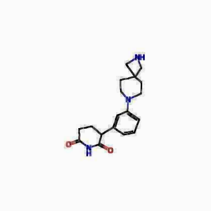 O=C1CCC(c2cccc(N3CCC4(CC3)CNC4)c2)C(=O)N1